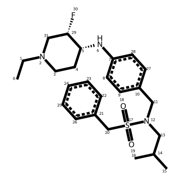 CCN1CC[C@@H](Nc2ccc(CN(CC(C)C)S(=O)(=O)Cc3ccccc3)cc2)[C@@H](F)C1